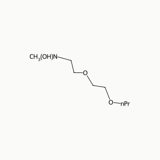 CCCOCCOCCN(C)O